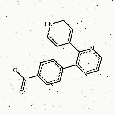 O=[N+]([O-])c1ccc(-c2nccnc2C2=CCNC=C2)cc1